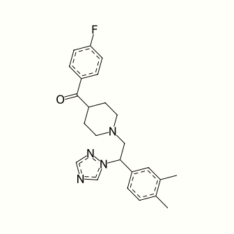 Cc1ccc(C(CN2CCC(C(=O)c3ccc(F)cc3)CC2)n2cncn2)cc1C